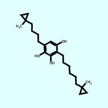 CC1(CCCCCCc2c(O)cc(CCCCC3(C)CC3)c(O)c2O)CC1